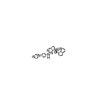 CN1CC2CC1CN2c1ccc(Nc2ncc3ccn(S(=O)(=O)c4cccc5cccnc45)c3n2)cc1